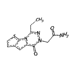 CCc1nn(CC(N)=O)c(=O)c2cc3ccsc3n12